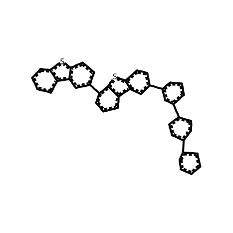 c1ccc(-c2ccc(-c3cccc(-c4ccc5sc6c(-c7ccc8sc9ccccc9c8c7)cccc6c5c4)c3)cc2)cc1